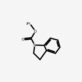 CC(C)OC(=O)N1CCc2ccccc21